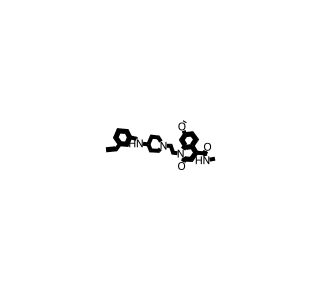 C=Cc1cccc(CNC2CCN(CCn3c(=O)cc(C(=O)NC)c4ccc(OC)cc43)CC2)c1